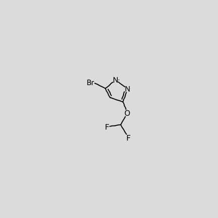 FC(F)OC1=N[N]C(Br)=C1